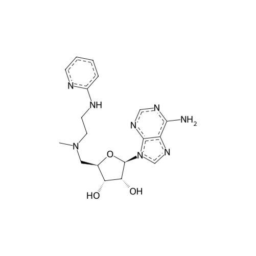 CN(CCNc1ccccn1)C[C@H]1O[C@@H](n2cnc3c(N)ncnc32)[C@H](O)[C@@H]1O